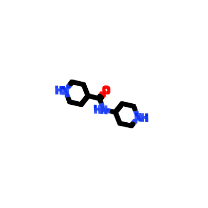 O=C(NC1CCNCC1)C1CCNCC1